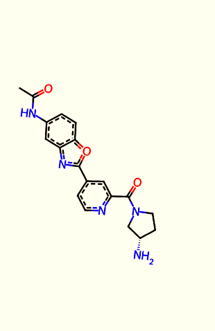 CC(=O)Nc1ccc2oc(-c3ccnc(C(=O)N4CC[C@H](N)C4)c3)nc2c1